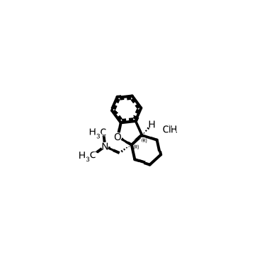 CN(C)C[C@@]12CCCC[C@@H]1c1ccccc1O2.Cl